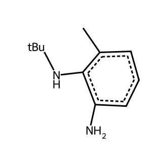 Cc1cccc(N)c1NC(C)(C)C